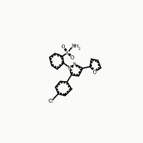 NS(=O)(=O)c1ccccc1-n1nc(-c2ccco2)cc1-c1ccc(Cl)cc1